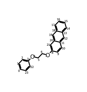 c1ccc(OCCOc2ccc3cc4ccccc4cc3c2)cc1